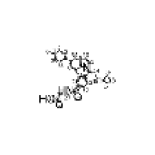 Cc1ccc(-c2ccc3c(ccn3C(CCC3CCC3)c3ccc(C(=O)NCCC(=O)O)cc3)c2)cc1